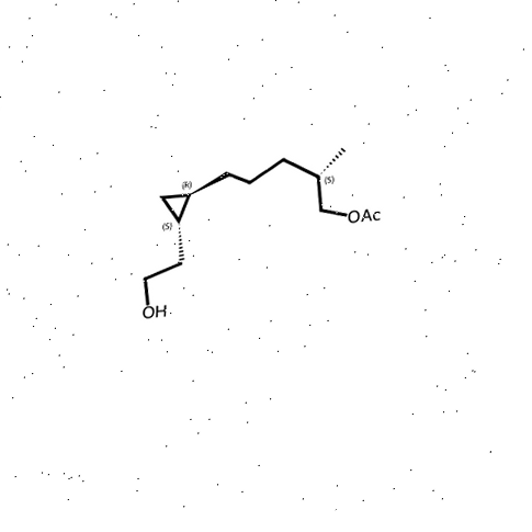 CC(=O)OC[C@@H](C)CCC[C@@H]1C[C@H]1CCO